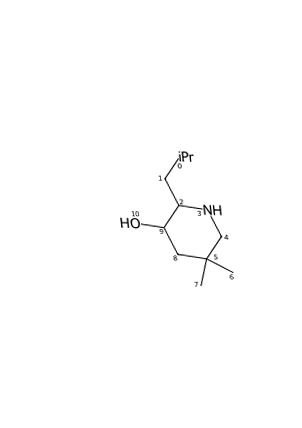 CC(C)CC1NCC(C)(C)CC1O